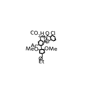 CCOCc1cc(OC)c(-c2ccc(C[C@H](NC(=O)c3c(Cl)cccc3Cl)C(=O)O)cc2C(C)=O)c(OC)c1